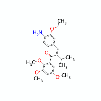 CCOc1cc(C=C(C(=O)c2cc(OC)cc(OC)c2OC)C(C)C)ccc1N